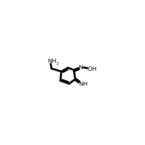 N=C1C=CC(CN)=C/C1=N/O